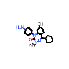 CCCN1N=C(C2CCCCC2)c2ccc(C)cc2N(c2ccc(N)cc2)C1=O